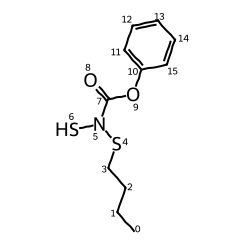 CCCCSN(S)C(=O)Oc1ccccc1